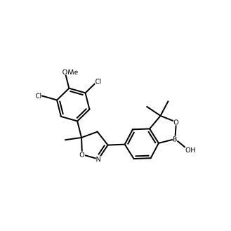 COc1c(Cl)cc(C2(C)CC(c3ccc4c(c3)C(C)(C)OB4O)=NO2)cc1Cl